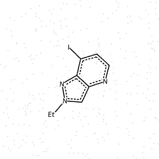 CCn1cc2nccc(I)c2n1